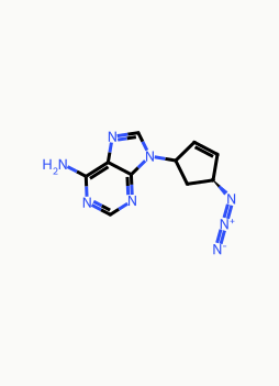 [N-]=[N+]=N[C@@H]1C=CC(n2cnc3c(N)ncnc32)C1